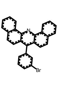 Brc1cccc(-c2c3ccc4ccccc4c3nc3c2ccc2ccccc23)c1